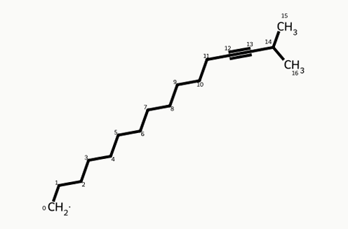 [CH2]CCCCCCCCCCCC#CC(C)C